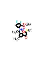 CCSc1cc(=O)c2cc(C)cc(C(C)Nc3ccc(F)c(F)c3C(=O)OC(C)(C)C)c2o1